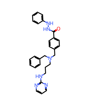 O=C(NNc1ccccc1)c1ccc(CN(CCCNc2ncccn2)Cc2ccccc2)cc1